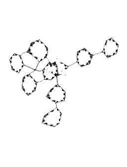 c1ccc(-c2ccc(-c3nc(-c4ccc(-c5ccccc5)cc4)nc(-c4cccc5c4C4(c6ccccc6-c6ccccc64)c4ccccc4-5)n3)cc2)cc1